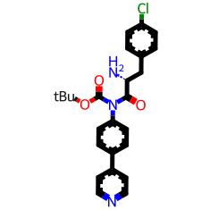 CC(C)(C)OC(=O)N(C(=O)[C@H](N)Cc1ccc(Cl)cc1)c1ccc(-c2ccncc2)cc1